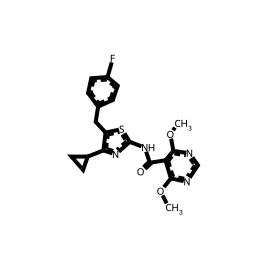 COc1ncnc(OC)c1C(=O)Nc1nc(C2CC2)c(Cc2ccc(F)cc2)s1